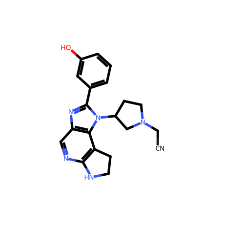 N#CCN1CCC(n2c(-c3cccc(O)c3)nc3cnc4c(c32)CCN4)C1